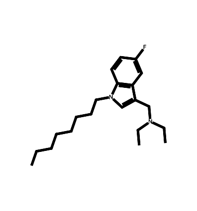 CCCCCCCCn1cc(CN(CC)CC)c2cc(F)ccc21